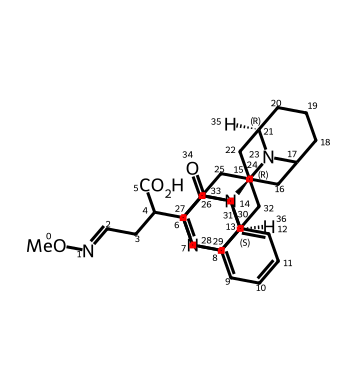 CON=CCC(C(=O)O)c1nc2ccccc2n([C@@H]2CC3CCC[C@H](C2)N3C2CC3CCC[C@@H](C3)C2)c1=O